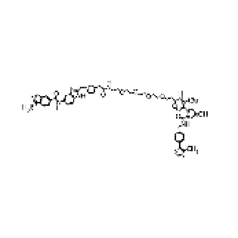 Cc1ncsc1-c1ccc(CNC(=O)[C@@H]2C[C@@H](O)CN2C(=O)[C@@H](NC(=O)CCOCCOCCOCCOCCNC(=O)CC2CCN(Cc3nc4cc(NC(=O)c5ccc6c(cnn6C)c5)ccc4[nH]3)C2)C(C)(C)C)cc1